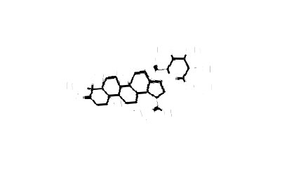 C=C(C)[C@@H]1CC[C@]2(C(=O)[C@@H]3OC(C(=O)O)[C@@H](O)C(O)C3O)CC[C@]3(C)C(CCC4[C@@]5(C)CCC(=O)C(C)(C)C5CC[C@]43C)C12